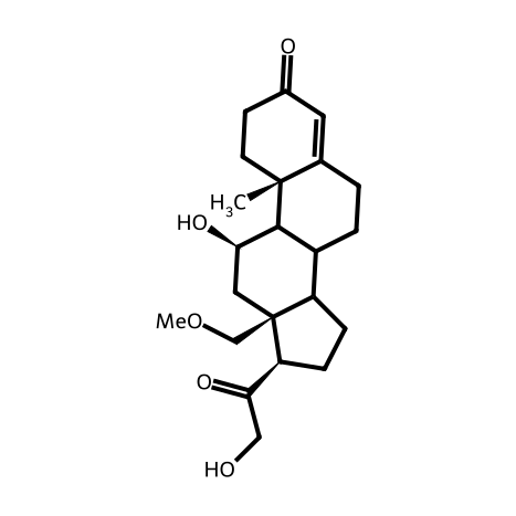 COC[C@@]12C[C@@H](O)C3C(CCC4=CC(=O)CC[C@]43C)C1CC[C@H]2C(=O)CO